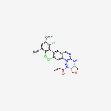 C=CC(=O)N[C@H]1COC[C@H]1Nc1ncc2cc(-c3c(Cl)c(OC)cc(OC)c3Cl)c(Cl)cc2n1